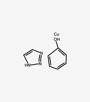 Oc1ccccc1.[Cu].c1c[nH]nn1